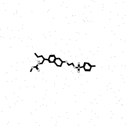 CCCC(CNC(=O)OC)c1ccc2c(c1)CCC(OCCOS(=O)(=O)c1ccc(C)cc1)C2